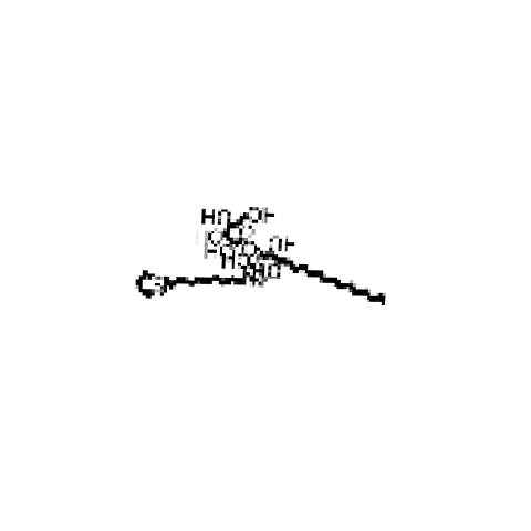 CCCCCCCCCCCCCC[C@@H](O)[C@@H](O)[C@H](COC1OC(CO)C(O)C(O)C1O)N1N=NN(CCCCCCCCCC[Si]2(C)CCCCC2)C1O